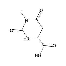 CN1C(=O)C[C@H](C(=O)O)NC1=O